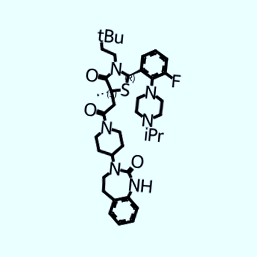 CC(C)N1CCN(c2c(F)cccc2[C@H]2S[C@@](C)(CC(=O)N3CCC(N4CCc5ccccc5NC4=O)CC3)C(=O)N2CCC(C)(C)C)CC1